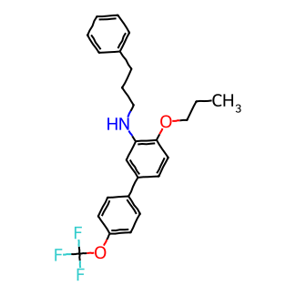 CCCOc1ccc(-c2ccc(OC(F)(F)F)cc2)cc1NCCCc1ccccc1